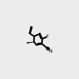 C=CC1C=C(F)C(C#N)=C[C@H]1C